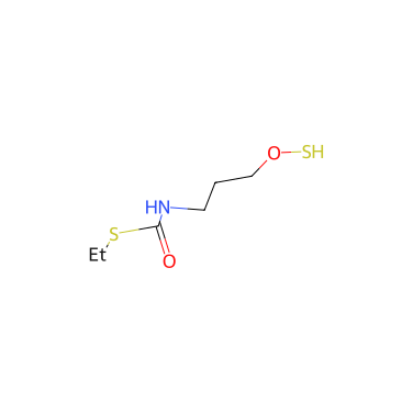 CCSC(=O)NCCCOS